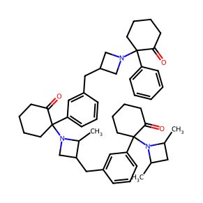 CC1C(Cc2cccc(C3(N4C(C)CC4C)CCCCC3=O)c2)CN1C1(c2cccc(CC3CN(C4(c5ccccc5)CCCCC4=O)C3)c2)CCCCC1=O